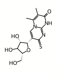 Cc1c(C)n2cc([C@@H]3O[C@H](CO)C(O)[C@@H]3O)c(=S)nc2[nH]c1=O